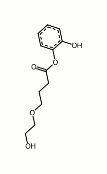 O=C(CCCOCCO)Oc1ccccc1O